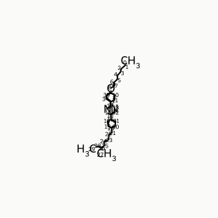 CCCCCCC=COc1ccc(-c2ncc(-c3ccc(CCCCCC(C)CC)cc3)cn2)cc1